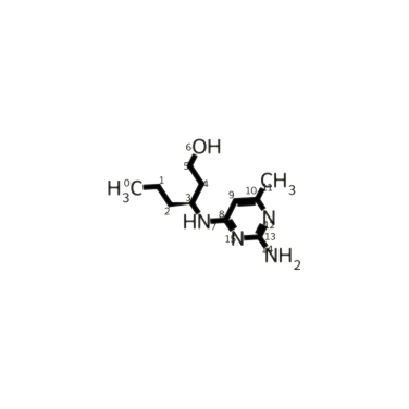 CCC[C@@H](CCO)Nc1cc(C)nc(N)n1